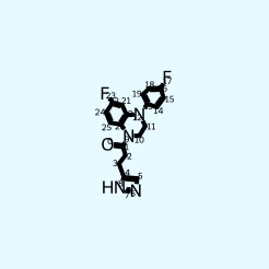 O=C(CCc1cnc[nH]1)N1CCN(c2ccc(F)cc2)c2cc(F)ccc21